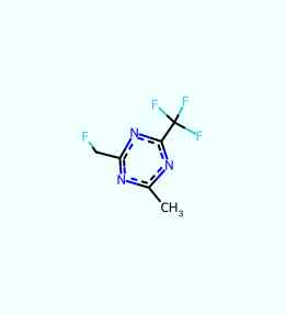 Cc1nc(CF)nc(C(F)(F)F)n1